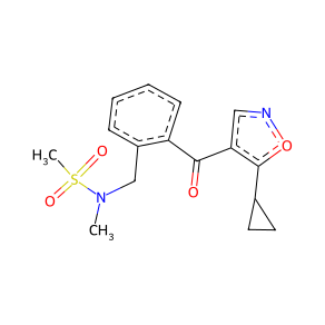 CN(Cc1ccccc1C(=O)c1cnoc1C1CC1)S(C)(=O)=O